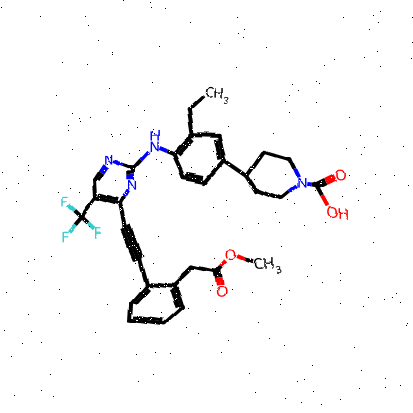 CCc1cc(C2CCN(C(=O)O)CC2)ccc1Nc1ncc(C(F)(F)F)c(C#Cc2ccccc2CC(=O)OC)n1